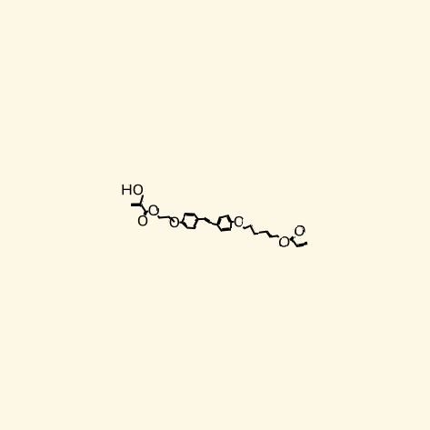 C=CC(=O)OCCCCCCOc1ccc(/C=C/c2ccc(OCCOC(=O)C(=C)CO)cc2)cc1